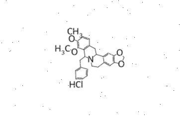 COc1ccc2c(c1OC)C(Cc1ccccc1)N1CCc3cc4c(cc3C1C2)OCO4.Cl